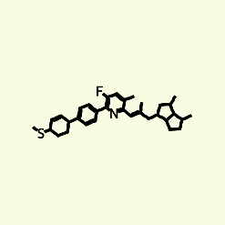 CSC1C=CC(c2ccc(-c3nc(/C=C(\C)CC4CC(C)C5C(C)CCC45)c(C)cc3F)cc2)CC1